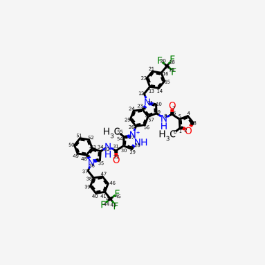 Cc1occc1C(=O)Nc1cn(Cc2ccc(C(F)(F)F)cc2)c2ccc(-[n+]3[nH]cc(C(=O)Nc4cn(Cc5ccc(C(F)(F)F)cc5)c5ccccc45)c3C)cc12